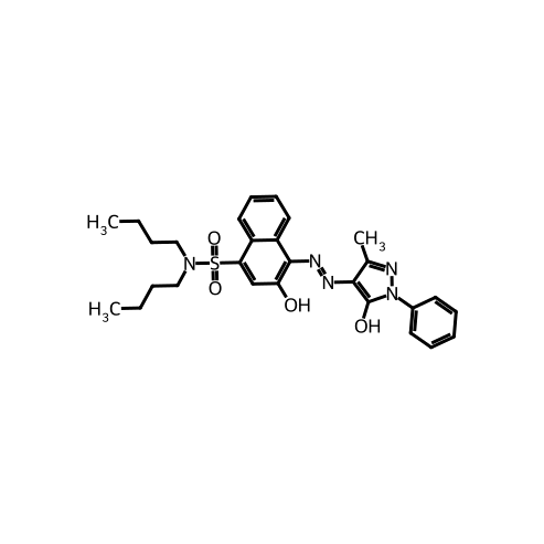 CCCCN(CCCC)S(=O)(=O)c1cc(O)c(/N=N/c2c(C)nn(-c3ccccc3)c2O)c2ccccc12